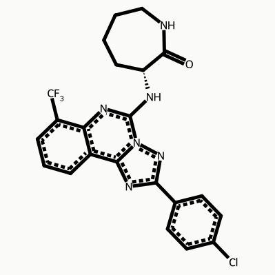 O=C1NCCCC[C@H]1Nc1nc2c(C(F)(F)F)cccc2c2nc(-c3ccc(Cl)cc3)nn12